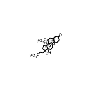 C[C@]12CCC(=O)C=C1C[C@@H](C(=O)O)[C@H]1[C@@H]3CC[C@@](O)(CCC(=O)O)[C@@]3(C)CC[C@@]12O